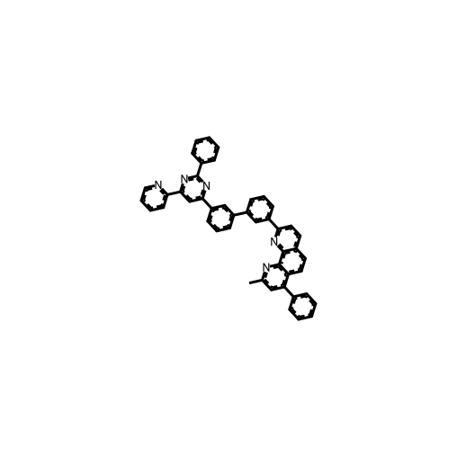 Cc1cc(-c2ccccc2)c2ccc3ccc(-c4cccc(-c5cccc(-c6cc(-c7ccccn7)nc(-c7ccccc7)n6)c5)c4)nc3c2n1